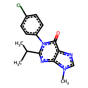 CC(C)c1nc2c(ncn2C)c(=O)n1-c1ccc(Cl)cc1